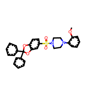 COc1ccccc1N1CCN(S(=O)(=O)c2ccc3c(c2)OC(c2ccccc2)(c2ccccc2)O3)CC1